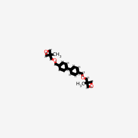 CC1(COCc2ccc(-c3ccc(COCC4(C)COC4)cc3)cc2)COC1